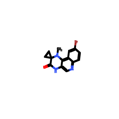 CN1c2c(cnc3ccc(Br)cc23)NC(=O)C12CC2